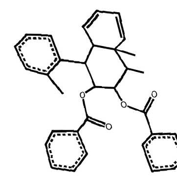 Cc1ccccc1C1C(OC(=O)c2ccccc2)C(OC(=O)c2ccccc2)C(C)C2(C)C=CC=CC12